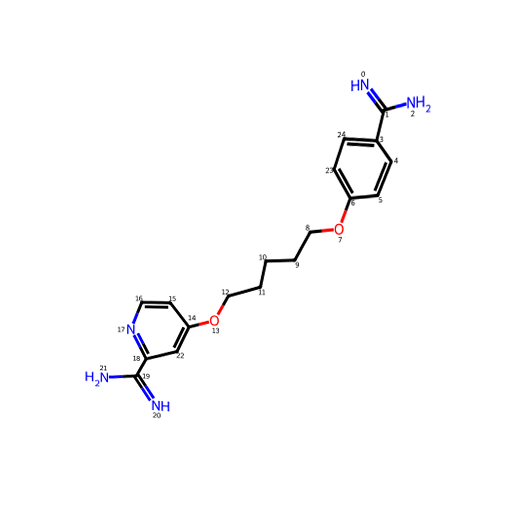 N=C(N)c1ccc(OCCCCCOc2ccnc(C(=N)N)c2)cc1